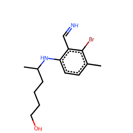 Cc1ccc(NC(C)CCCCO)c(C=N)c1Br